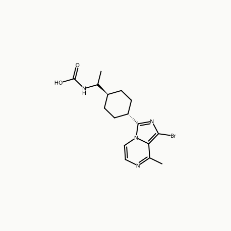 Cc1nccn2c1c(Br)nc2[C@H]1CC[C@H](C(C)NC(=O)O)CC1